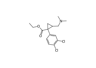 CCOC(=O)C1(c2ccc(Cl)c(Cl)c2)CC1CN(C)C